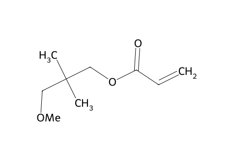 C=CC(=O)OCC(C)(C)COC